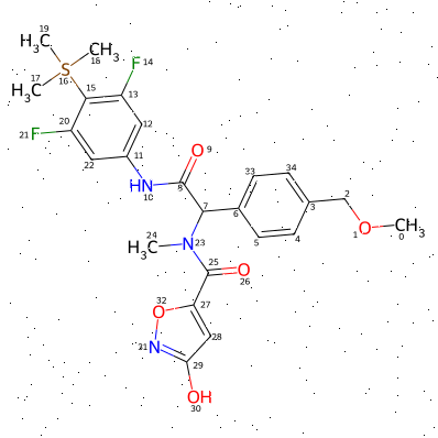 COCc1ccc(C(C(=O)Nc2cc(F)c(S(C)(C)C)c(F)c2)N(C)C(=O)c2cc(O)no2)cc1